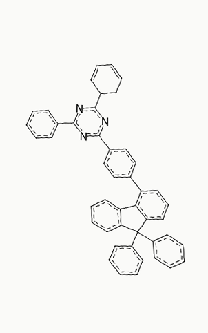 C1=CCC(c2nc(-c3ccccc3)nc(-c3ccc(-c4cccc5c4-c4ccccc4C5(c4ccccc4)c4ccccc4)cc3)n2)C=C1